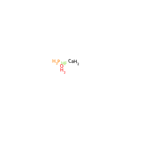 F.O.P.[CaH2]